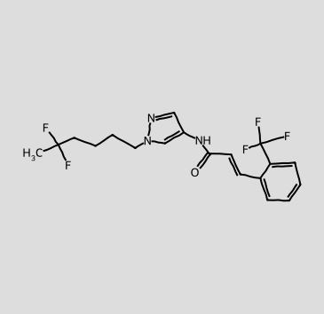 CC(F)(F)CCCCn1cc(NC(=O)C=Cc2ccccc2C(F)(F)F)cn1